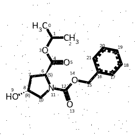 CC(C)OC(=O)[C@@H]1C[C@@H](O)CN1C(=O)OCc1ccccc1